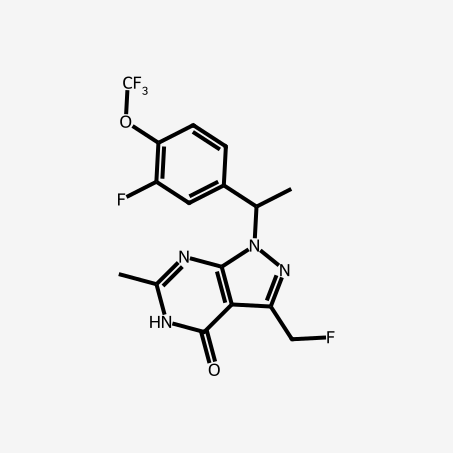 Cc1nc2c(c(CF)nn2C(C)c2ccc(OC(F)(F)F)c(F)c2)c(=O)[nH]1